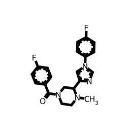 CN1CCN(C(=O)c2ccc(F)cc2)CC1c1cn(-c2ccc(F)cc2)cn1